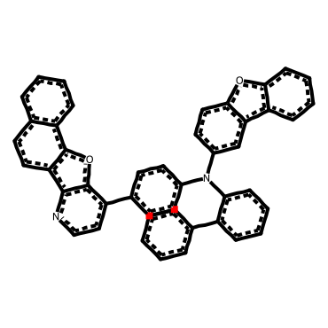 c1ccc(-c2ccccc2N(c2ccc(-c3ccnc4c3oc3c5ccccc5ccc43)cc2)c2ccc3oc4ccccc4c3c2)cc1